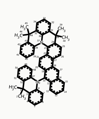 CC1(C)c2ccccc2N(c2c3ccccc3cc3c2ccc2c4c(ccc23)C(C)(C)c2cccc3c2N4c2ccccc2C3(C)C)c2ccccc21